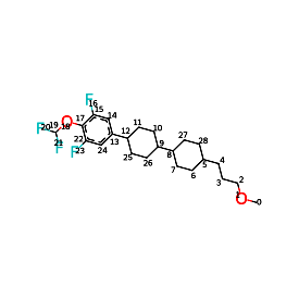 COCCCC1CCC(C2CCC(c3cc(F)c(OC(F)F)c(F)c3)CC2)CC1